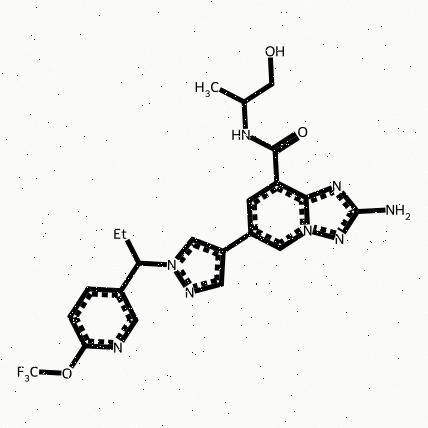 CCC(c1ccc(OC(F)(F)F)nc1)n1cc(-c2cc(C(=O)NC(C)CO)c3nc(N)nn3c2)cn1